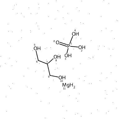 O=P(O)(O)O.OCC(O)CO.[MgH2]